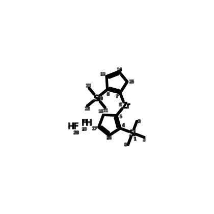 C[Si](C)(C)C1=[C]([Zr][C]2=C([Si](C)(C)C)C=CC2)CC=C1.F.F